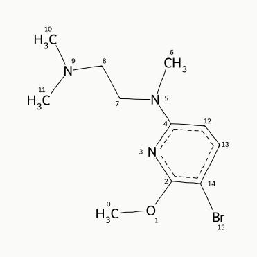 COc1nc(N(C)CCN(C)C)ccc1Br